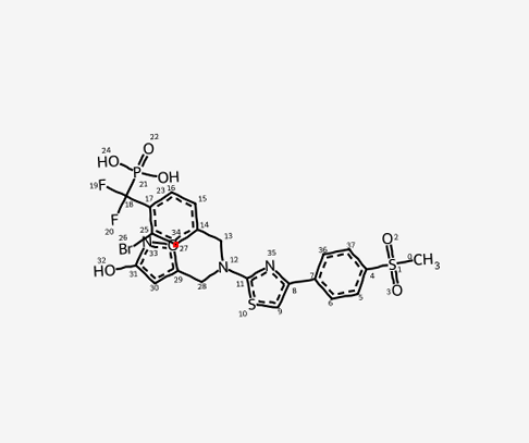 CS(=O)(=O)c1ccc(-c2csc(N(Cc3ccc(C(F)(F)P(=O)(O)O)c(Br)c3)Cc3cc(O)no3)n2)cc1